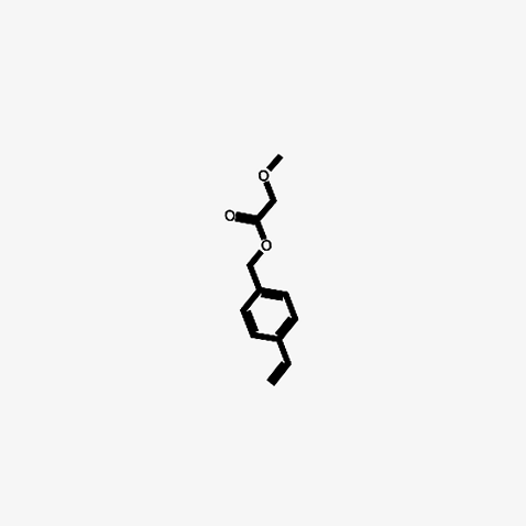 C=Cc1ccc(COC(=O)COC)cc1